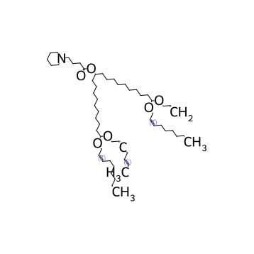 C=CCOC(CCCCCCCCCC(CCCCCCCCCC(OCC=C=C/C=C/C)OC/C=C\CCCCCC)OC(=O)CCCN1CCCCC1)OC/C=C\CCCCCC